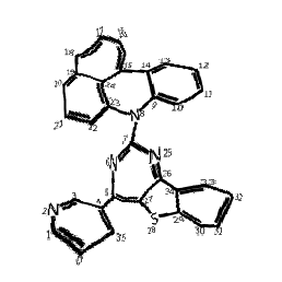 c1cncc(-c2nc(N3c4ccccc4-c4cccc5cccc3c45)nc3c2sc2ccccc23)c1